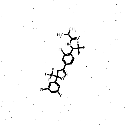 CC(C)C(=O)NC(c1ccc(C2=NOC(c3cc(Cl)cc(Cl)c3)(C(F)(F)F)C2)cc1Cl)C(F)(F)F